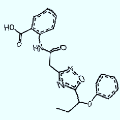 CCC(Oc1ccccc1)c1nc(CC(=O)Nc2ccccc2C(=O)O)no1